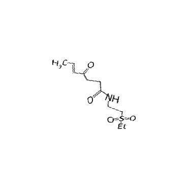 C/C=C/C(=O)CCC(=O)NCCS(=O)(=O)CC